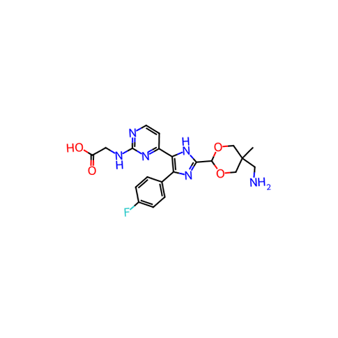 CC1(CN)COC(c2nc(-c3ccc(F)cc3)c(-c3ccnc(NCC(=O)O)n3)[nH]2)OC1